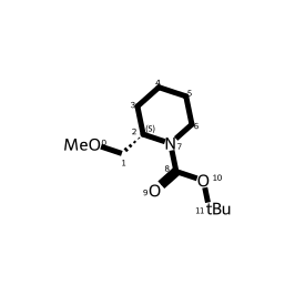 COC[C@@H]1CCCCN1C(=O)OC(C)(C)C